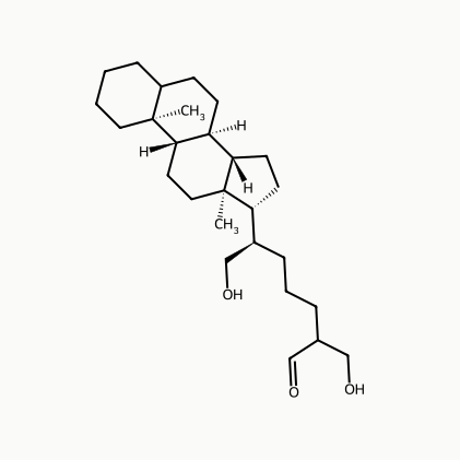 C[C@]12CC[C@H]3[C@@H](CCC4CCCC[C@@]43C)[C@@H]1CC[C@@H]2[C@H](CO)CCCC(C=O)CO